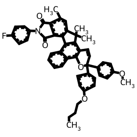 CCCCOc1ccc(C2(c3ccc(OC)cc3)C=Cc3c4c(c5ccccc5c3O2)-c2c(cc(C)c3c2C(=O)N(c2ccc(F)cc2)C3=O)C4(C)C)cc1